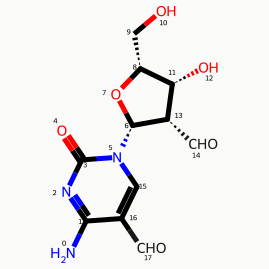 Nc1nc(=O)n([C@@H]2O[C@H](CO)[C@H](O)[C@@H]2C=O)cc1C=O